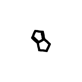 C1=C2CCCC2=CC1